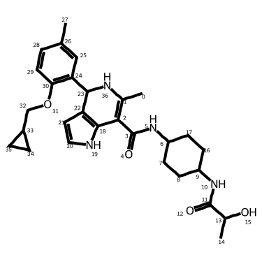 CC1=C(C(=O)NC2CCC(NC(=O)C(C)O)CC2)c2[nH]ccc2C(c2cc(C)ccc2OCC2CC2)N1